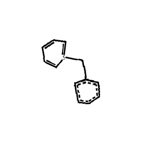 [C]1=CC=CC=S1Cc1ccccc1